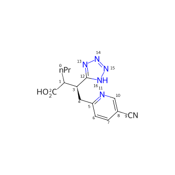 CCCC(C(=O)O)[C@H](Cc1ccc(C#N)cn1)c1nnn[nH]1